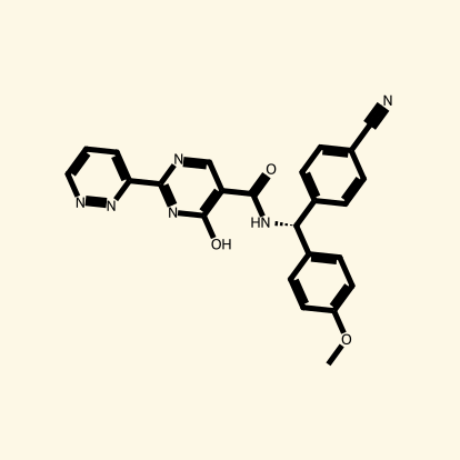 COc1ccc([C@H](NC(=O)c2cnc(-c3cccnn3)nc2O)c2ccc(C#N)cc2)cc1